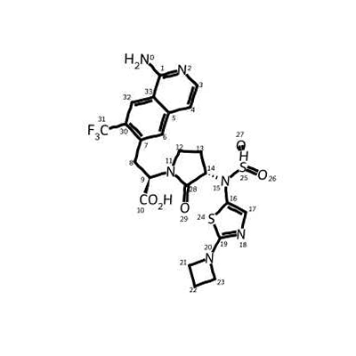 Nc1nccc2cc(C[C@H](C(=O)O)N3CC[C@H](N(c4cnc(N5CCC5)s4)[SH](=O)=O)C3=O)c(C(F)(F)F)cc12